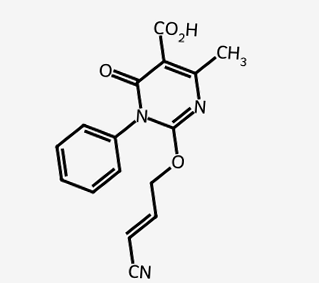 Cc1nc(OCC=CC#N)n(-c2ccccc2)c(=O)c1C(=O)O